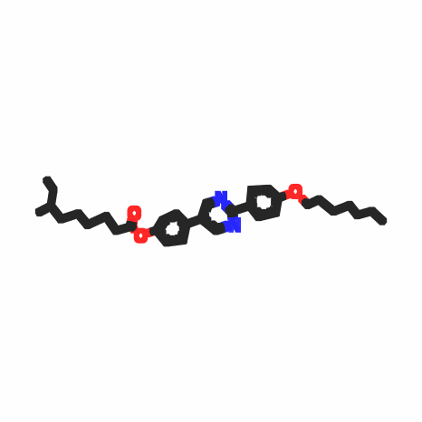 CCCCCCCOc1ccc(-c2ncc(-c3ccc(OC(=O)CCCCCC(C)CC)cc3)cn2)cc1